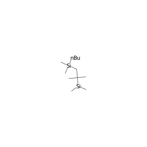 CCCC[Si](C)(C)CC(C)(C)[Si](C)C